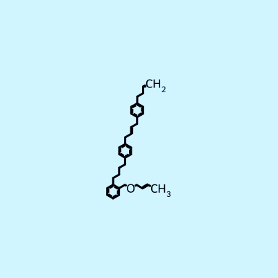 C=CCCc1ccc(C/C=C/Cc2ccc(CCCCc3ccccc3COC/C=C/C)cc2)cc1